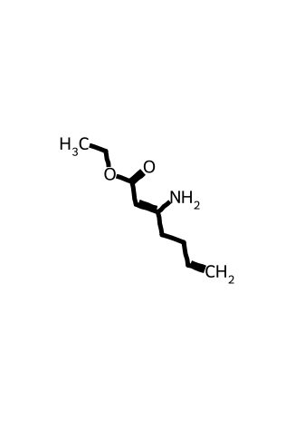 C=CCC/C(N)=C/C(=O)OCC